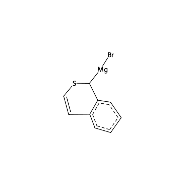 [Br][Mg][CH]1SC=Cc2ccccc21